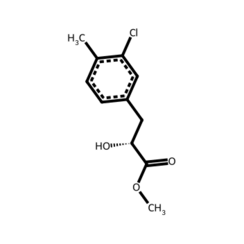 COC(=O)[C@H](O)Cc1ccc(C)c(Cl)c1